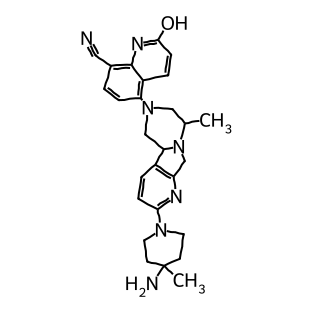 CC1CN(c2ccc(C#N)c3nc(O)ccc23)CC2c3ccc(N4CCC(C)(N)CC4)nc3CN12